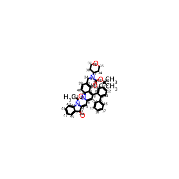 CC(=O)N1/C(=C\c2cc(-c3ccccc3-c3ccccc3)c3cc(CN(C(=O)OC(C)(C)C)C4CCOCC4)ccc3n2)C(=O)c2ccccc21